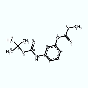 CSC(=S)Oc1cccc(NC(=O)OC(C)(C)C)c1